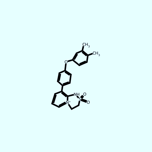 Cc1ccc(Oc2ccc(-c3ccc[n+]4c3NS(=O)(=O)CC4)cc2)cc1C